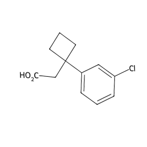 O=C(O)CC1(c2cccc(Cl)c2)CCC1